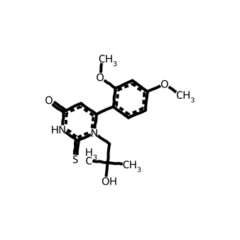 COc1ccc(-c2cc(=O)[nH]c(=S)n2CC(C)(C)O)c(OC)c1